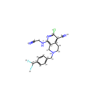 N#CCNc1nc(Cl)c(C#N)c2c1CN(Cc1ccc(C(F)F)cc1)CC2